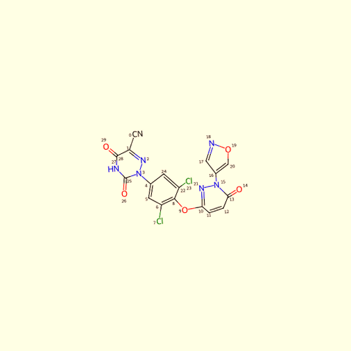 N#Cc1nn(-c2cc(Cl)c(Oc3ccc(=O)n(-c4cnoc4)n3)c(Cl)c2)c(=O)[nH]c1=O